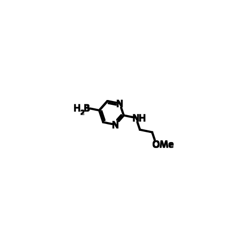 Bc1cnc(NCCOC)nc1